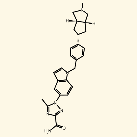 Cc1nc(C(N)=O)nn1-c1ccc2c(ccn2Cc2ccc([C@@H]3C[C@@H]4CN(C)C[C@@H]4C3)cc2)c1